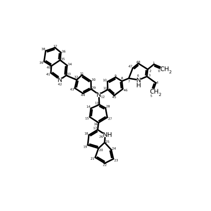 C=CC1=C(C=C)NC(c2ccc(N(c3ccc(C4=CC=C5C=CC=CC5N4)cc3)c3ccc(-c4cc5ccccc5cn4)cc3)cc2)C=C1